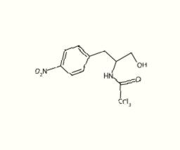 O=C(NC(CO)Cc1ccc([N+](=O)[O-])cc1)C(Cl)(Cl)Cl